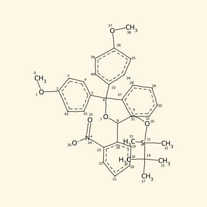 COc1ccc(C(OC(CO[Si](C)(C)C(C)(C)C)c2ccccc2[N+](=O)[O-])(c2ccccc2)c2ccc(OC)cc2)cc1